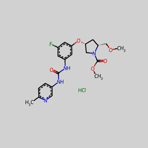 COC[C@H]1C[C@@H](Oc2cc(F)cc(NC(=O)Nc3ccc(C)nc3)c2)CN1C(=O)OC.Cl